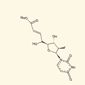 COC(=O)/C=C/C(O)[C@@H]1O[C@H](n2ccc(=O)[nH]c2=O)[C@H](F)[C@H]1O